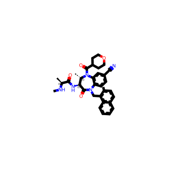 CN[C@@H](C)C(=O)N[C@@H]1C(=O)N(Cc2c(C)ccc3ccccc23)c2ccc(C#N)cc2N(C(=O)C2CCOCC2)[C@H]1C